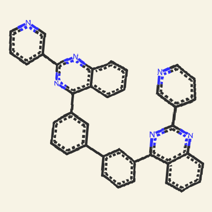 c1cncc(-c2nc(-c3cccc(-c4cccc(-c5nc(-c6cccnc6)nc6ccccc56)c4)c3)c3ccccc3n2)c1